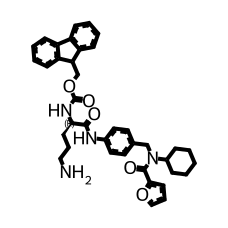 NCCC[C@@H](NC(=O)OCC1c2ccccc2-c2ccccc21)C(=O)Nc1ccc(CN(C(=O)c2ccco2)C2CCCCC2)cc1